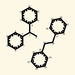 CC(c1ccccc1)c1ccccc1.c1ccc(CCc2ccccc2)cc1